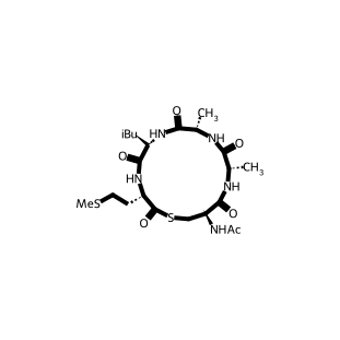 CC[C@H](C)[C@@H]1NC(=O)[C@H](C)NC(=O)[C@H](C)NC(=O)[C@@H](NC(C)=O)CSC(=O)[C@H](CCSC)NC1=O